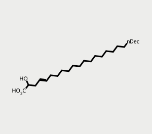 CCCCCCCCCCCCCCCCCCCCCCCCC=CCC(O)C(=O)O